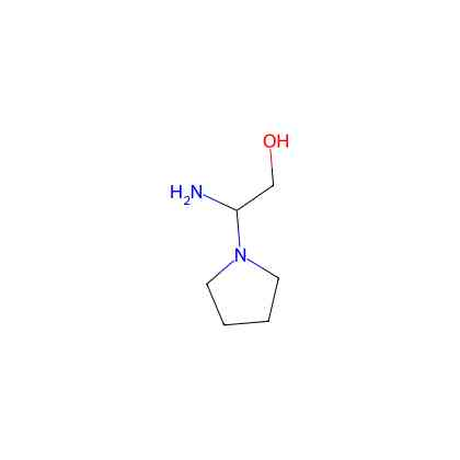 NC(CO)N1CCCC1